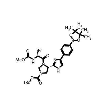 COC(=O)N[C@H](C(=O)N1CN(C(=O)OC(C)(C)C)C[C@H]1c1nc(-c2ccc(B3OC(C)(C)C(C)(C)O3)cc2)c[nH]1)C(C)C